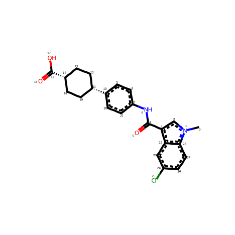 Cn1cc(C(=O)Nc2ccc([C@H]3CC[C@@H](C(=O)O)CC3)cc2)c2cc(Cl)ccc21